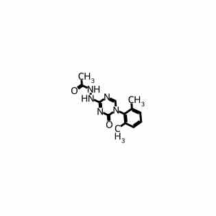 CC(=O)NNc1ncn(-c2c(C)cccc2C)c(=O)n1